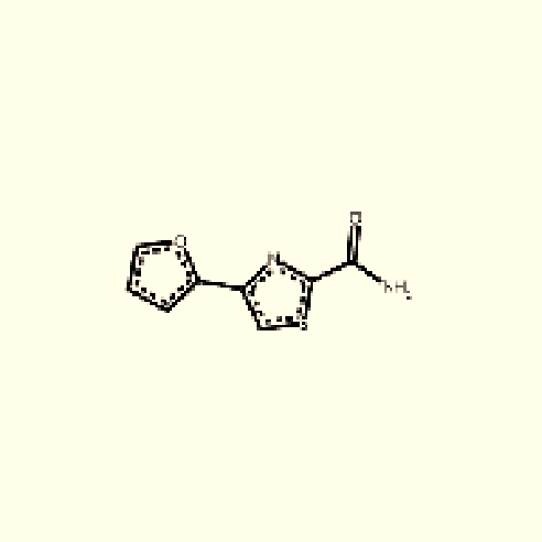 NC(=O)c1nc(-c2ccco2)cs1